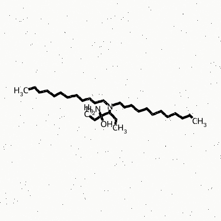 CCCCCCCCCCCCN(CCCCCCCCCCCC)C(CC)C(N)(O)CC